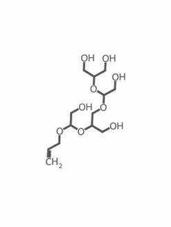 C=CCOC(CO)OC(CO)COC(CO)OC(CO)CO